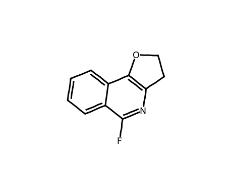 Fc1nc2c(c3ccccc13)OCC2